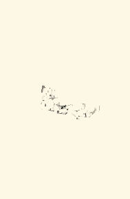 C[C@@H](Oc1cc(Cl)c(Cc2ccc(O)c(-c3ccc(Cl)cc3)c2)c(Cl)c1)C(N)=O